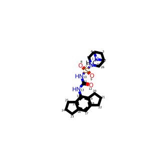 CN1C2CC1CN(S(=O)(=O)NC(=O)Nc1c3c(cc4c1CCC4)CCC3)C2